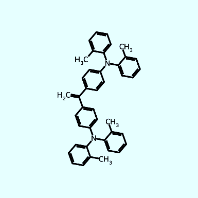 C=C(c1ccc(N(c2ccccc2C)c2ccccc2C)cc1)c1ccc(N(c2ccccc2C)c2ccccc2C)cc1